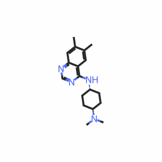 Cc1cc2ncnc(N[C@H]3CC[C@H](N(C)C)CC3)c2cc1C